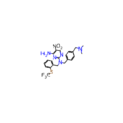 CN(C)Cc1ccc(CN(Cc2ccccc2SC(F)(F)F)c2ncc([N+](=O)[O-])c(N)n2)cc1